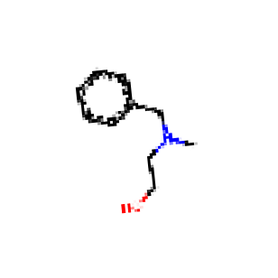 CN(CCO)Cc1ccccc1